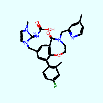 Cc1ccnc(CN2CCOc3c(cc(Cn4ccn(C)/c4=N\C(=O)O)cc3-c3ccc(F)cc3C)C2=O)c1